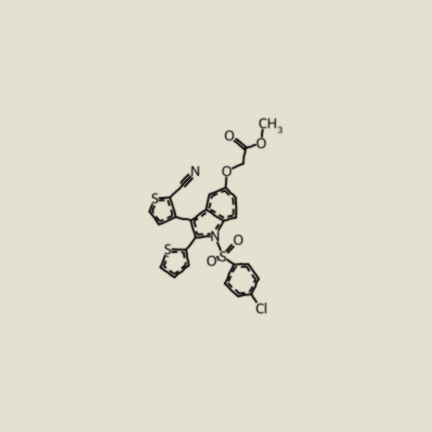 COC(=O)COc1ccc2c(c1)c(-c1ccsc1C#N)c(-c1cccs1)n2S(=O)(=O)c1ccc(Cl)cc1